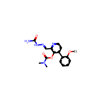 CCOc1ccccc1-c1ccnc(C=NNC(N)=O)c1OC(=O)N(C)C